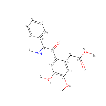 CNC(C(=O)c1cc(OC)c(OC)cc1CC(=O)OC)c1ccccc1